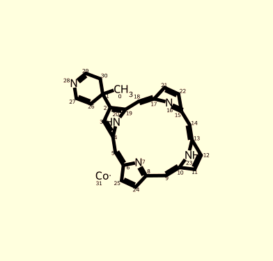 CC1(c2cc3cc4nc(cc5ccc(cc6nc(cc2[nH]3)C=C6)[nH]5)C=C4)C=CN=CC1.[Co]